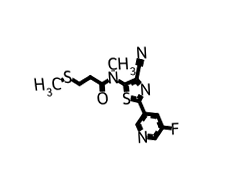 CSCCC(=O)N(C)c1sc(-c2cncc(F)c2)nc1C#N